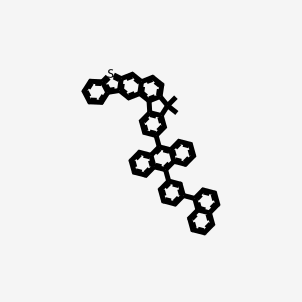 CC1(C)c2cc(-c3c4ccccc4c(-c4cccc(-c5cccc6ccccc56)c4)c4ccccc34)ccc2-c2c1ccc1cc3sc4ccccc4c3cc21